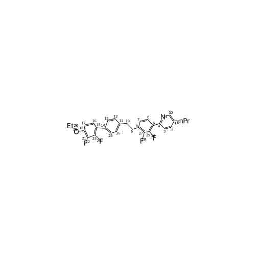 CCCc1ccc(-c2ccc(CCc3ccc(-c4ccc(OCC)c(F)c4F)cc3)c(F)c2F)nc1